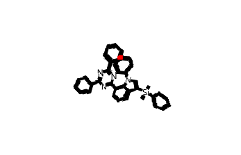 C[Si](C)(c1ccccc1)c1cn(-c2ccccc2)c2c(-c3nc(-c4ccccc4)nc(-c4ccccc4)n3)cccc12